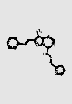 Cc1c(C=Cc2ccccc2)sc2c(NN=Cc3cccs3)ncnc12